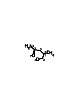 CC(C[O])CC(N)=O